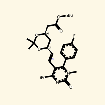 CCCCOC(=O)C[C@H]1C[C@@H](/C=C/c2c(C(C)C)nc(=O)n(C)c2-c2ccc(F)cc2)OC(C)(C)O1